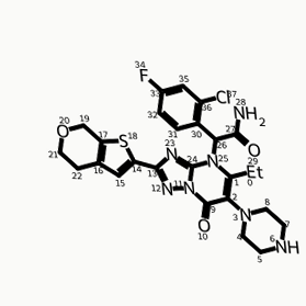 CCc1c(N2CCNCC2)c(=O)n2nc(-c3cc4c(s3)COCC4)nc2n1C(C(N)=O)c1ccc(F)cc1Cl